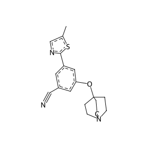 Cc1cnc(-c2cc(C#N)cc(OC34CCN(CC3)CC4)c2)s1